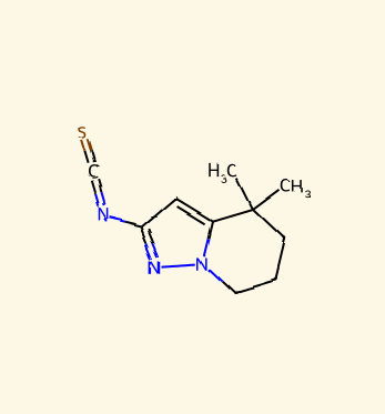 CC1(C)CCCn2nc(N=C=S)cc21